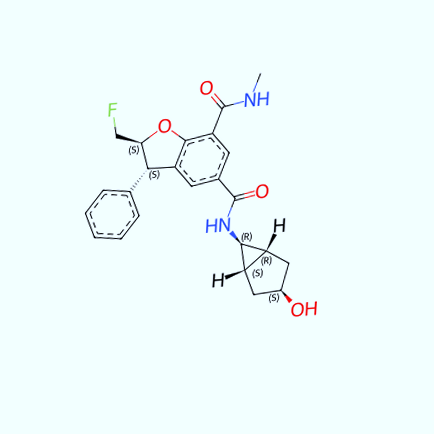 CNC(=O)c1cc(C(=O)N[C@H]2[C@@H]3C[C@@H](O)C[C@@H]32)cc2c1O[C@H](CF)[C@H]2c1ccccc1